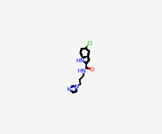 O=C(NCCCn1ccnc1)c1cc2cc(Cl)ccc2[nH]1